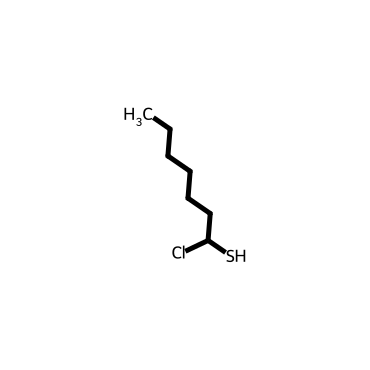 CCCCCCC(S)Cl